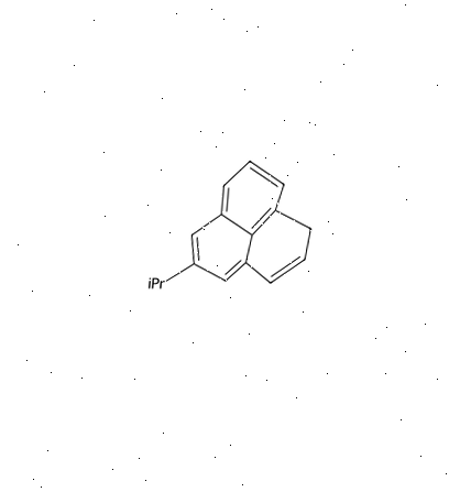 CC(C)c1cc2c3c(cccc3c1)CC=C2